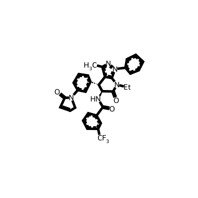 CCN1C(=O)[C@@H](NC(=O)c2cccc(C(F)(F)F)c2)[C@H](c2cccc(N3CC=CC3=O)c2)c2c(C)nn(-c3ccccc3)c21